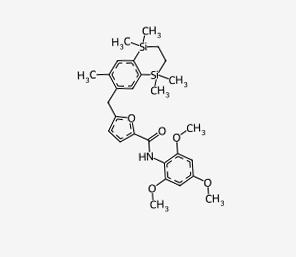 COc1cc(OC)c(NC(=O)c2ccc(Cc3cc4c(cc3C)[Si](C)(C)CC[Si]4(C)C)o2)c(OC)c1